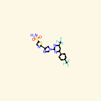 NS(=O)(=O)c1cnc(-c2cn(-c3nc(-c4ccc(C(F)(F)F)cc4)cc(C(F)(F)F)n3)cn2)s1